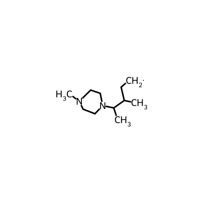 [CH2]CC(C)C(C)N1CCN(C)CC1